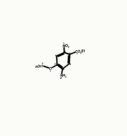 CCCCCCCCOc1cc([N+](=O)[O-])c(C(=O)OCC)cc1N